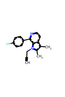 C#CCn1c(C)c(C)c2ccnc(-c3ccc(F)cc3)c21